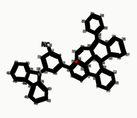 N#Cc1cc(-c2ccc(-c3ccccc3-c3c4ccccc4c(-c4ccccc4)c4ccccc34)cc2)cc(-n2c3ccccc3c3ccccc32)c1